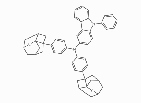 c1ccc(-n2c3ccccc3c3cc(N(c4ccc(C56CC7CC8CC(C5)C6(C8)C7)cc4)c4ccc(C56CC7CC8CC(C5)C6(C8)C7)cc4)ccc32)cc1